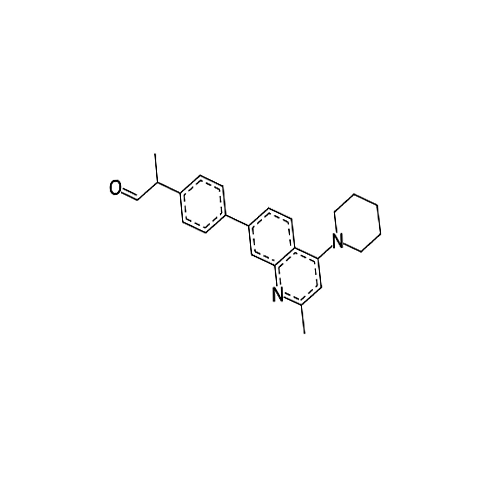 Cc1cc(N2CCCCC2)c2ccc(-c3ccc(C(C)C=O)cc3)cc2n1